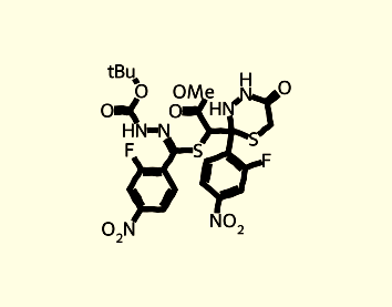 COC(=O)C(SC(=NNC(=O)OC(C)(C)C)c1ccc([N+](=O)[O-])cc1F)C1(c2ccc([N+](=O)[O-])cc2F)NNC(=O)CS1